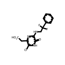 O=C(O)Cc1nc(NCC(F)(F)c2ccccc2)c(=O)[nH]c1Cl